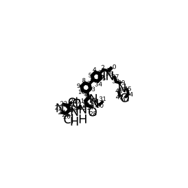 C=C(Cc1ccc(-c2cccc(-c3cc(NC(=O)Nc4c(Cl)cncc4Cl)c(=O)n(CC)n3)c2)cc1)NCCCN1CCOCC1